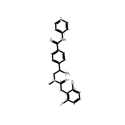 CN(CC(N)c1ccc(C(=O)Nc2ccncc2)cc1)C(=O)Cc1c(F)cccc1Cl